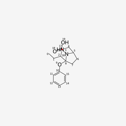 CCC1NCC2CCC1(Oc1ccccc1)N2C(=O)O